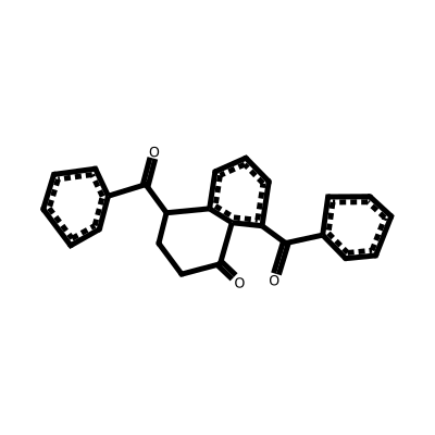 O=C(c1ccccc1)c1cccc2c1C(=O)CCC2C(=O)c1ccccc1